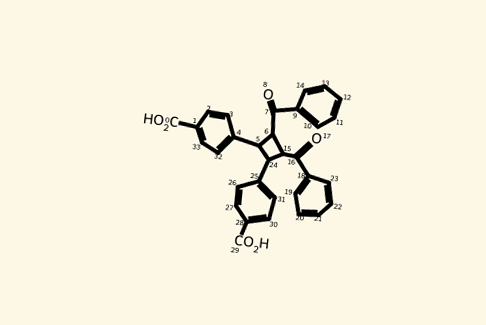 O=C(O)c1ccc(C2C(C(=O)c3ccccc3)C(C(=O)c3ccccc3)C2c2ccc(C(=O)O)cc2)cc1